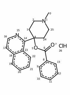 CN1CCC(OC(=O)c2ccccc2)(c2nccc3ccccc23)CC1.Cl